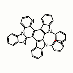 c1ccc(-n2c3ccccc3c3c4c5ncccc5n5c6ccccc6nc5c4c4c5ccccc5n(-c5ccccc5)c4c32)cc1